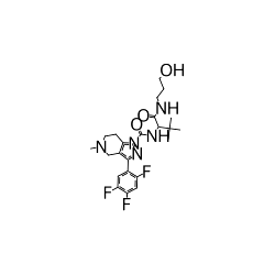 CN1CCc2c(c(-c3cc(F)c(F)cc3F)nn2C(=O)NC(C(=O)NCCCO)C(C)(C)C)C1